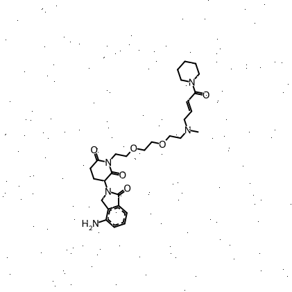 CN(C/C=C/C(=O)N1CCCCC1)CCOCCOCCN1C(=O)CCC(N2Cc3c(N)cccc3C2=O)C1=O